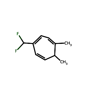 CC1=CC=C(C(F)F)C=CC1C